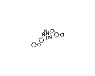 Clc1ccc(/C(Cn2cncn2)=N/OCc2cccc(Oc3ccccc3)c2)c(Cl)c1